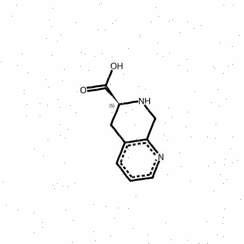 O=C(O)[C@@H]1Cc2cccnc2CN1